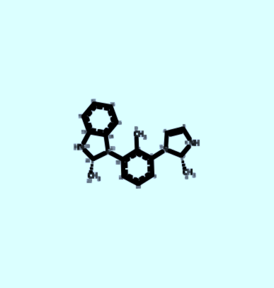 Cc1c(N2C=CN[C@@H]2C)cccc1N1c2ccccc2N[C@H]1C